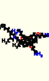 C=CCN(CCCCCCCC)CCC[C@@H](C)[C@H]1CC[C@H]2[C@@H]3[C@H](OCCCN)C[C@@H]4C[C@H](OCCCN)CC[C@]4(C)[C@H]3C[C@H](OCCCN)[C@]12C